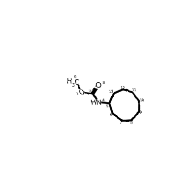 COC(=O)NC1CCCCCCCC1